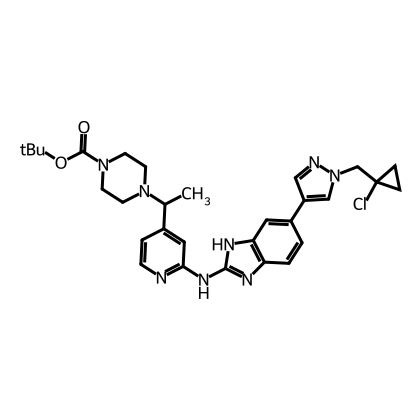 CC(c1ccnc(Nc2nc3ccc(-c4cnn(CC5(Cl)CC5)c4)cc3[nH]2)c1)N1CCN(C(=O)OC(C)(C)C)CC1